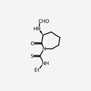 CCNC(=S)N1CCCC[C@H](NC=O)C1=O